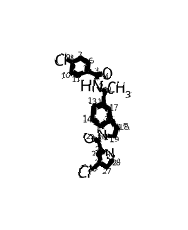 CC(NC(=O)c1ccc(Cl)cc1)c1ccc2c(c1)CCN2C(=O)c1cc(Cl)ccn1